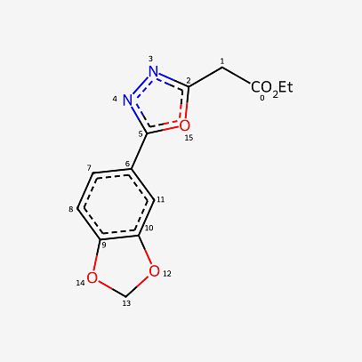 CCOC(=O)Cc1nnc(-c2ccc3c(c2)OCO3)o1